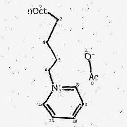 CC(=O)[O-].CCCCCCCCCCCC[n+]1ccccc1